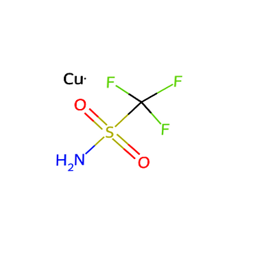 NS(=O)(=O)C(F)(F)F.[Cu]